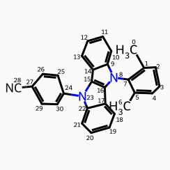 Cc1cccc(C)c1-n1c2ccccc2c2c1c1ccccc1n2-c1ccc(C#N)cc1